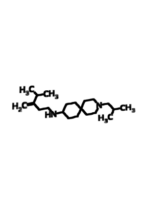 C=C(CCNC1CCC2(CC1)CCN(CC(C)C)CC2)C(C)C